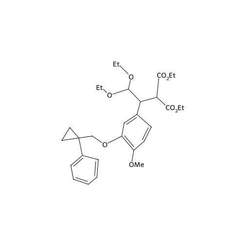 CCOC(=O)C(C(=O)OCC)C(c1ccc(OC)c(OCC2(c3ccccc3)CC2)c1)C(OCC)OCC